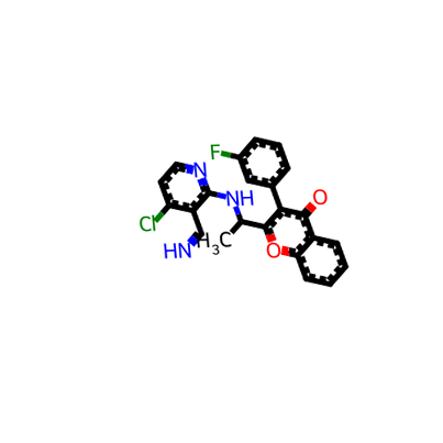 CC(Nc1nccc(Cl)c1C=N)c1oc2ccccc2c(=O)c1-c1cccc(F)c1